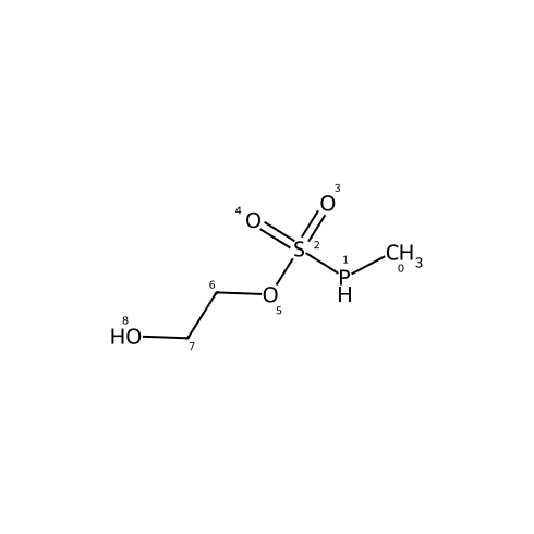 CPS(=O)(=O)OCCO